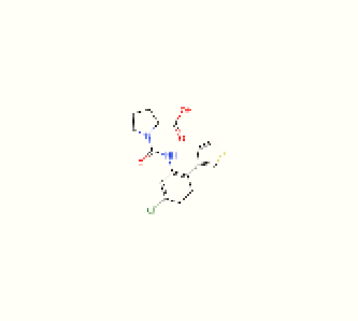 O=C(O)[C@H]1CCCN1C(=O)Nc1cc(Cl)ccc1-c1ccsc1